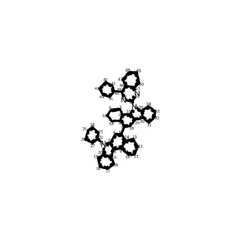 C1=Cc2c(c(-c3cc4c(c5ccccc35)c3ccccc3n4-c3ccccc3)cc3c4ccccc4n(-c4nc(-c5ccccc5)c5ccccc5n4)c23)CC1